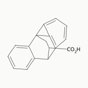 O=C(O)C1CC23c4ccccc4C1c1cccc2c13